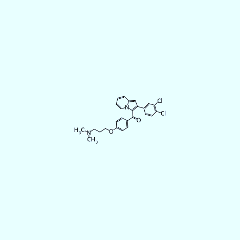 CN(C)CCCOc1ccc(C(=O)c2c(-c3ccc(Cl)c(Cl)c3)cc3ccccn23)cc1